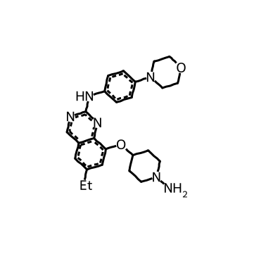 CCc1cc(OC2CCN(N)CC2)c2nc(Nc3ccc(N4CCOCC4)cc3)ncc2c1